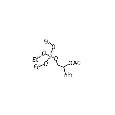 CCCC(CO[Si](OCC)(OCC)OCC)OC(C)=O